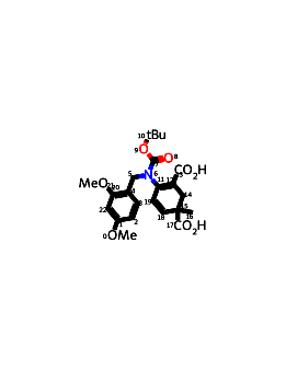 COc1ccc(CN(C(=O)OC(C)(C)C)C2=C(C(=O)O)CC(C)(C(=O)O)C=C2)c(OC)c1